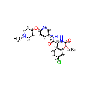 CN1CCC(Oc2ccc(NC(=O)C(NC(=O)OC(C)(C)C)c3ccc(Cl)cc3)cn2)CC1